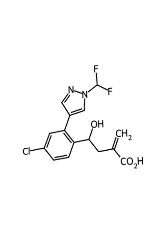 C=C(CC(O)c1ccc(Cl)cc1-c1cnn(C(F)F)c1)C(=O)O